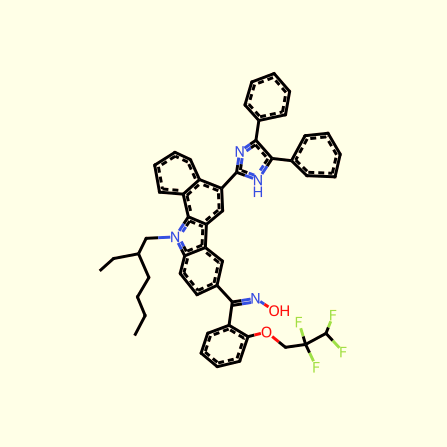 CCCCC(CC)Cn1c2ccc(C(=NO)c3ccccc3OCC(F)(F)C(F)F)cc2c2cc(-c3nc(-c4ccccc4)c(-c4ccccc4)[nH]3)c3ccccc3c21